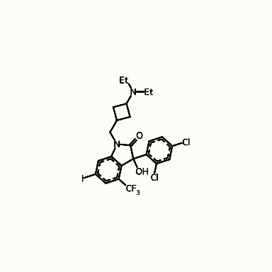 CCN(CC)C1CC(CN2C(=O)C(O)(c3ccc(Cl)cc3Cl)c3c2cc(I)cc3C(F)(F)F)C1